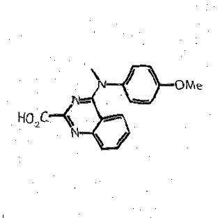 COc1ccc(N(C)c2nc(C(=O)O)nc3ccccc23)cc1